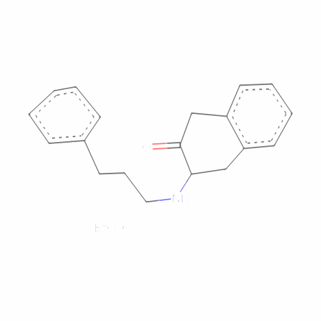 CCOC(=O)[C@H](CCc1ccccc1)NC1Cc2ccccc2CC1=O